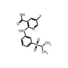 CN(C)S(=O)(=O)c1cccc([AsH]c2ncc(F)cc2C(=O)O)c1